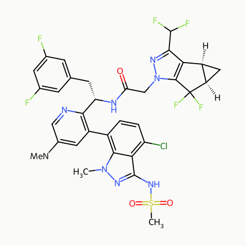 CNc1cnc([C@H](Cc2cc(F)cc(F)c2)NC(=O)Cn2nc(C(F)F)c3c2C(F)(F)[C@@H]2C[C@H]32)c(-c2ccc(Cl)c3c(NS(C)(=O)=O)nn(C)c23)c1